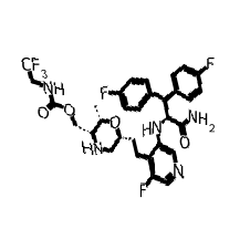 C[C@@H]1O[C@H](CCc2c(F)cncc2N[C@H](C(N)=O)C(c2ccc(F)cc2)c2ccc(F)cc2)CN[C@@H]1COC(=O)NCC(F)(F)F